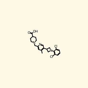 Cc1cc(CN2CCC(C(=O)O)CC2)ncc1C1CN(c2c(Cl)cccc2Cl)C1